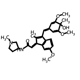 COC1=CC(=CC2=C(C)C(=CC(=O)NC3CCN(C)C3)c3cc(OC)ccc32)C=C(OC)C1(C)O